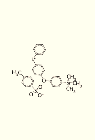 C[Si](C)(C)c1ccc(Oc2ccc([I+]c3ccccc3)cc2)cc1.Cc1ccc(S(=O)(=O)[O-])cc1